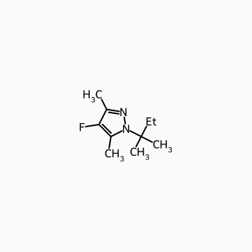 CCC(C)(C)n1nc(C)c(F)c1C